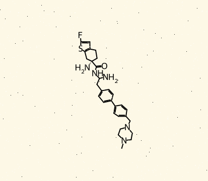 CN1CCN(Cc2ccc(-c3ccc(CC(N)NC(=O)[C@]4(N)CCc5cc(F)sc5C4)cc3)cc2)CC1